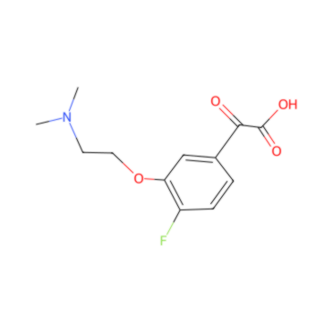 CN(C)CCOc1cc(C(=O)C(=O)O)ccc1F